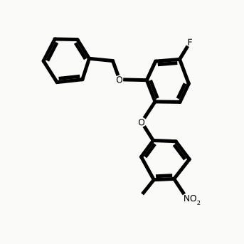 Cc1cc(Oc2ccc(F)cc2OCc2ccccc2)ccc1[N+](=O)[O-]